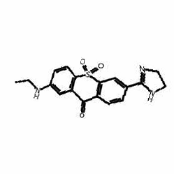 CCNc1ccc2c(c1)C(=O)c1ccc(C3=NCCN3)cc1S2(=O)=O